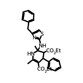 CCOC(=O)C1=C(C)NC(C)(Nc2nc(Cc3ccccc3)cs2)C(C(=O)OCC)C1c1ccccc1